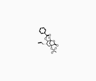 C=CC[C@H]1C[C@]2(OS(C)(=O)=O)C[C@@H](OC2=O)[C@@H]1OC(=O)c1ccccc1